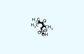 C=C(C)C(=O)C(C)CS(=O)(=O)O